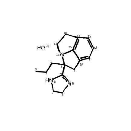 CCCC1(C2=NCCN2)Cc2cccc3c2N1CC3.Cl